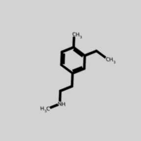 CCc1cc(CCNC)ccc1C